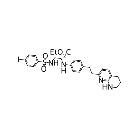 CCOC(=O)[C@H](CNc1ccc(CCc2ccc3c(n2)NCCC3)cc1)NS(=O)(=O)c1ccc(I)cc1